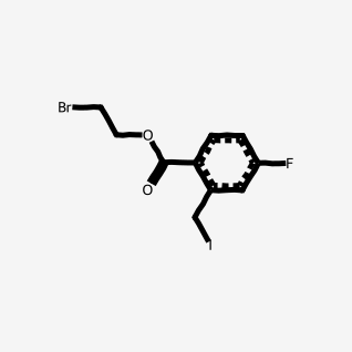 O=C(OCCBr)c1ccc(F)cc1CI